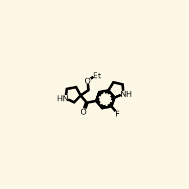 CCOCC1(C(=O)c2cc(F)c3c(c2)CCN3)CCNC1